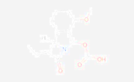 C/C=C1/C(=O)N2C(OC(=O)O)=C3C(OC)CCCC3[C@H]12